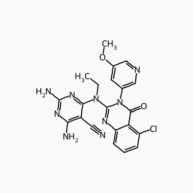 CCN(c1nc(N)nc(N)c1C#N)c1nc2cccc(Cl)c2c(=O)n1-c1cncc(OC)c1